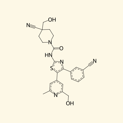 Cc1cc(-c2sc(NC(=O)N3CCC(C#N)(CO)CC3)nc2-c2cccc(C#N)c2)cc(CO)n1